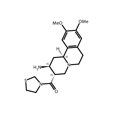 COc1cc2c(cc1OC)[C@@H]1C[C@H](N)[C@@H](C(=O)N3CCSC3)CN1CC2